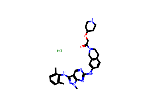 Cc1cccc(C)c1Nc1nn(C)c2nc(Nc3ccc4c(c3)CN(C(=O)COC3CCNCC3)CC4)ncc12.Cl